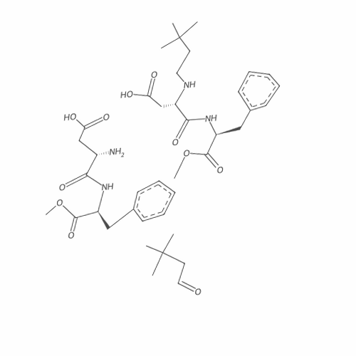 CC(C)(C)CC=O.COC(=O)[C@H](Cc1ccccc1)NC(=O)[C@@H](N)CC(=O)O.COC(=O)[C@H](Cc1ccccc1)NC(=O)[C@H](CC(=O)O)NCCC(C)(C)C